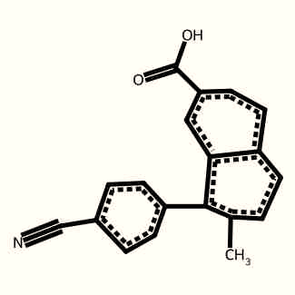 Cc1ccc2ccc(C(=O)O)cc2c1-c1ccc(C#N)cc1